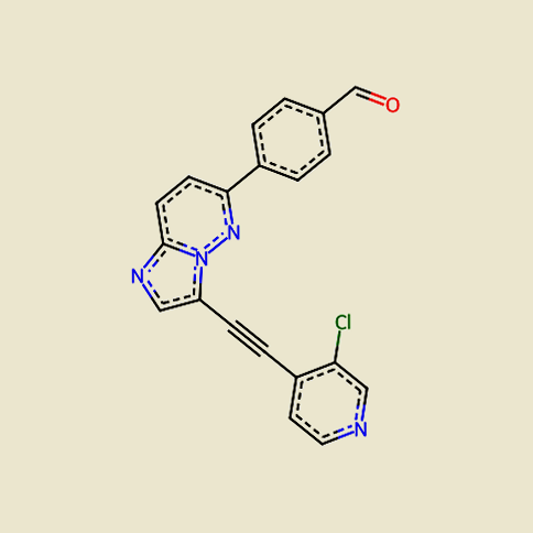 O=Cc1ccc(-c2ccc3ncc(C#Cc4ccncc4Cl)n3n2)cc1